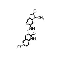 CN1C(=O)Cc2cnc(NCc3cc4cc(Cl)ccc4[nH]c3=O)cc21